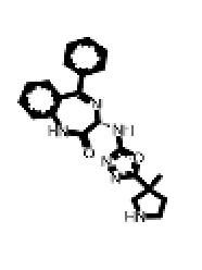 CC1(c2nnc(N[C@H]3N=C(c4ccccc4)c4ccccc4NC3=O)o2)CCNC1